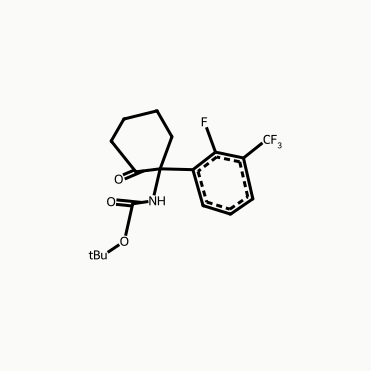 CC(C)(C)OC(=O)NC1(c2cccc(C(F)(F)F)c2F)CCCCC1=O